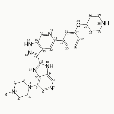 CN1CCN(c2cncc3[nH]c(-c4n[nH]c5cnc(-c6cccc(OC7CCNCC7)c6)cc45)nc23)CC1